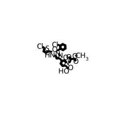 COC(=O)C(=O)Cn1c(C(=O)O)ccc(-c2cc(NCc3ccc(Cl)s3)n(C(=O)c3ccccc3Cl)n2)c1=O